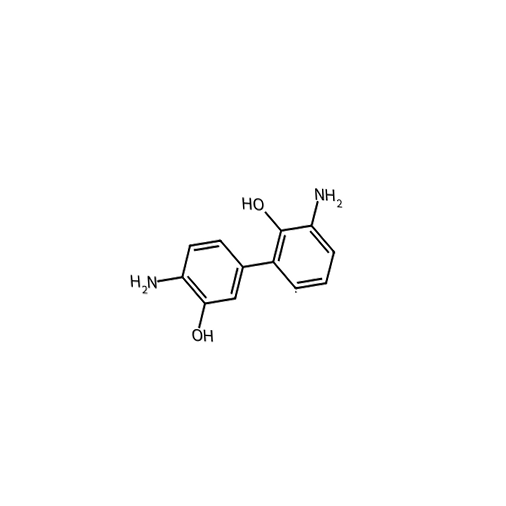 Nc1ccc(-c2[c]ccc(N)c2O)cc1O